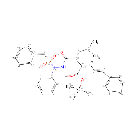 CC(C)C[C@@H](C(=O)NN(c1ccccc1)S(=O)(=O)Cc1ccccc1)[C@H](CC=Cc1ccccc1)C(=O)OC(C)(C)C